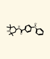 CC1(C)CC(NC(=O)c2ccc([S+]([O-])c3ccccc3)cc2)CC(C)(C)N1